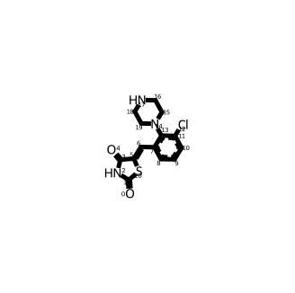 O=C1NC(=O)/C(=C/c2cccc(Cl)c2N2CCNCC2)S1